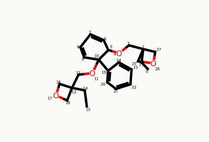 CCC1(COC2C=CC=CC2(OCC2(CC)COC2)c2ccccc2)COC1